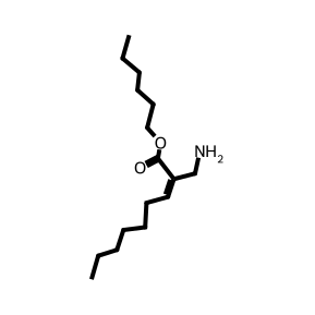 CCCCCCC=C(CN)C(=O)OCCCCCC